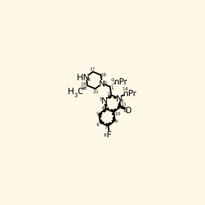 CCC[C@H](c1nc2ccc(F)cc2c(=O)n1CCC)N1CCN[C@@H](C)C1